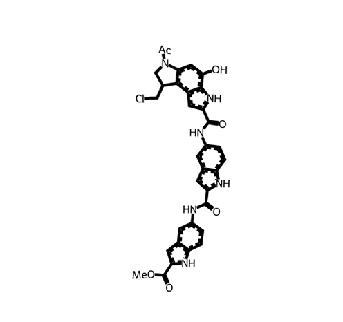 COC(=O)c1cc2cc(NC(=O)c3cc4cc(NC(=O)c5cc6c7c(cc(O)c6[nH]5)N(C(C)=O)CC7CCl)ccc4[nH]3)ccc2[nH]1